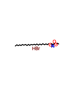 Br.CCCCCCCCCCCCCCCCCCCCCCCCOCC(C(=O)OCC)N(C)C